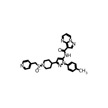 Cc1ccc(-n2nc(C3CCN([S+]([O-])Cc4ccncc4)CC3)cc2NC(=O)c2cnn3cccnc23)cc1